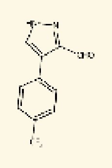 O=Cc1n[nH]cc1-c1ccc(C(F)(F)F)cc1